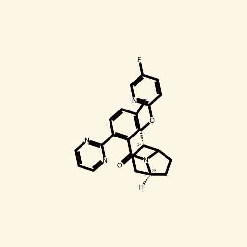 O=C(c1cc(F)ccc1-c1ncccn1)N1C2CC[C@H]1CC[C@@H]2COc1ccc(F)cn1